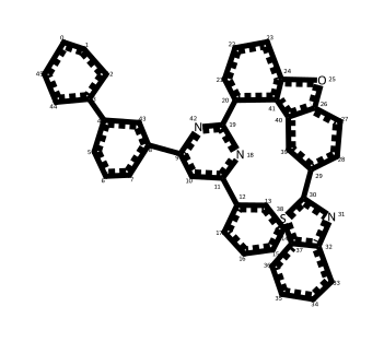 c1ccc(-c2cccc(-c3cc(-c4ccccc4)nc(-c4cccc5oc6ccc(-c7nc8ccccc8s7)cc6c45)n3)c2)cc1